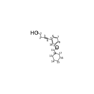 OCCC#Cc1cccc(OCC2CCCCC2)c1